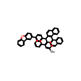 CC(C)(C)c1ccc(C(c2ccc(-c3ccc4oc5ccccc5c4c3)cc2)c2ccc3ccccc3c2-c2cccc3ccccc23)c(-c2ccccc2)c1